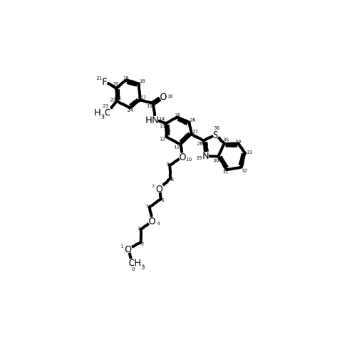 COCCOCCOCCOc1cc(NC(=O)c2ccc(F)c(C)c2)ccc1-c1nc2ccccc2s1